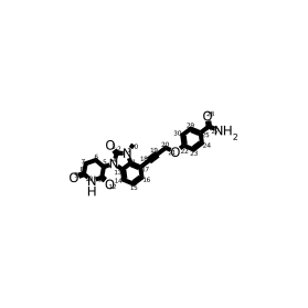 Cn1c(=O)n(C2CCC(=O)NC2=O)c2cccc(C#CCOc3ccc(C(N)=O)cc3)c21